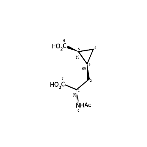 CC(=O)N[C@@H](C[C@@H]1C[C@@H]1C(=O)O)C(=O)O